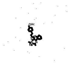 CC(=O)OCc1ccc(CCc2cc3c(s2)-n2c(C)nnc2C(C)N=C3c2ccccc2Cl)cc1